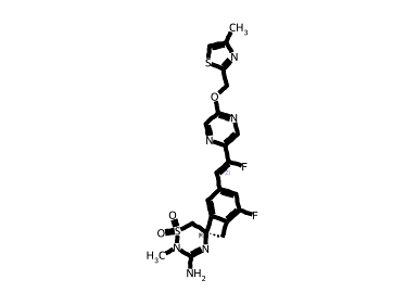 Cc1csc(COc2cnc(/C(F)=C/c3cc(F)c4c(c3)[C@]3(C4)CS(=O)(=O)N(C)C(N)=N3)cn2)n1